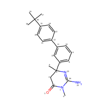 CN1C(=O)CC(C)(c2cccc(-c3ccc(C(C)(C)C)cc3)c2)N=C1N